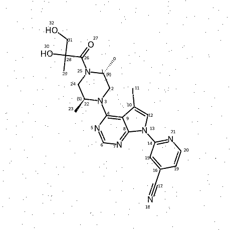 C[C@@H]1CN(c2ncnc3c2c(I)cn3-c2cc(C#N)ccn2)[C@@H](C)CN1C(=O)C(C)(O)CO